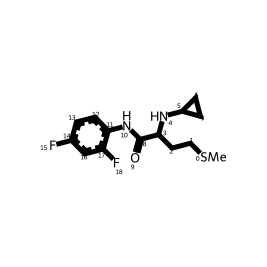 CSCCC(NC1CC1)C(=O)Nc1ccc(F)cc1F